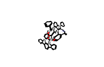 C=C1/C=C\c2c(c3ccccc3n2-c2ccccc2)N(c2nc(-c3ccccc3)nc3nc(-n4c5ccccc5c5ccc6c7ccccc7n(-c7ccccc7)c6c54)n(C)c23)c2ccccc21